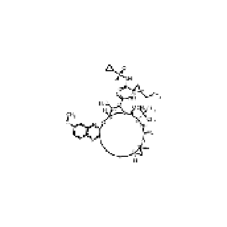 CC[C@@H]1C[C@]1(NC(=O)[C@@H]1[C@H](C)[C@@H]2CN1C(=O)[C@H](C(C)(C)C)NC(=O)O[C@@H]1C[C@H]1CCCCCc1nc3ccc(OC)cc3nc1O2)C(=O)NS(=O)(=O)C1CC1